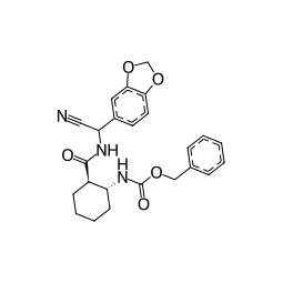 N#CC(NC(=O)[C@@H]1CCCC[C@H]1NC(=O)OCc1ccccc1)c1ccc2c(c1)OCO2